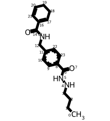 CCCCNNC(=O)c1ccc(CNC(=O)C2=CCCC=C2)cc1